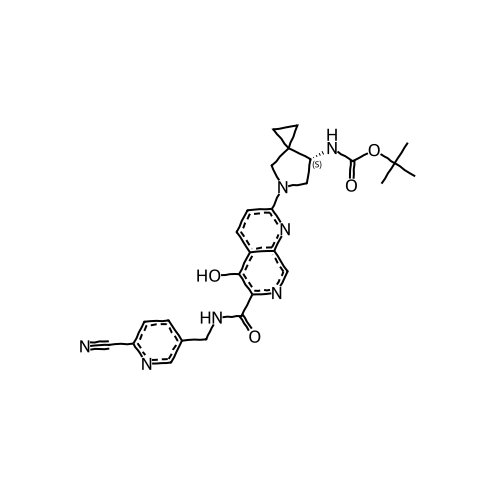 CC(C)(C)OC(=O)N[C@@H]1CN(c2ccc3c(O)c(C(=O)NCc4ccc(C#N)nc4)ncc3n2)CC12CC2